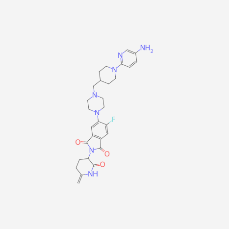 C=C1CCC(N2C(=O)c3cc(F)c(N4CCN(CC5CCN(c6ccc(N)cn6)CC5)CC4)cc3C2=O)C(=O)N1